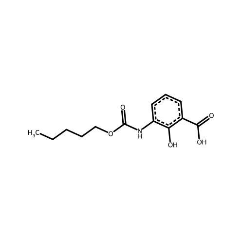 CCCCCOC(=O)Nc1cccc(C(=O)O)c1O